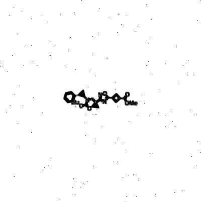 COC(=O)[C@H]1C[C@@H](c2nc(C3(CN(C(=O)OC(C)(C)C)[C@@H]4C[C@H]4c4ccccc4)CC3)no2)C1